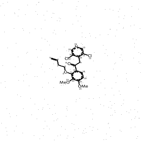 C=CCCOc1c(C(=O)Cc2c(Cl)cncc2Cl)ccc(OC)c1OC